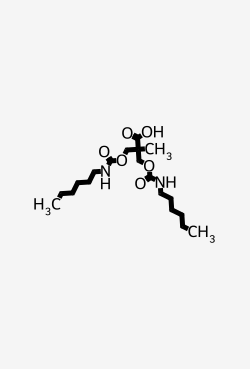 CCCCCCNC(=O)OCC(C)(COC(=O)NCCCCCC)C(=O)O